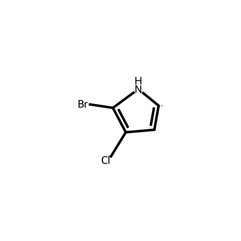 Clc1c[c][nH]c1Br